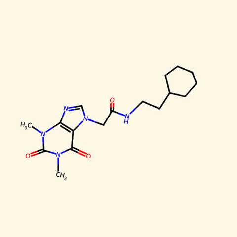 Cn1c(=O)c2c(ncn2CC(=O)NCCC2CCCCC2)n(C)c1=O